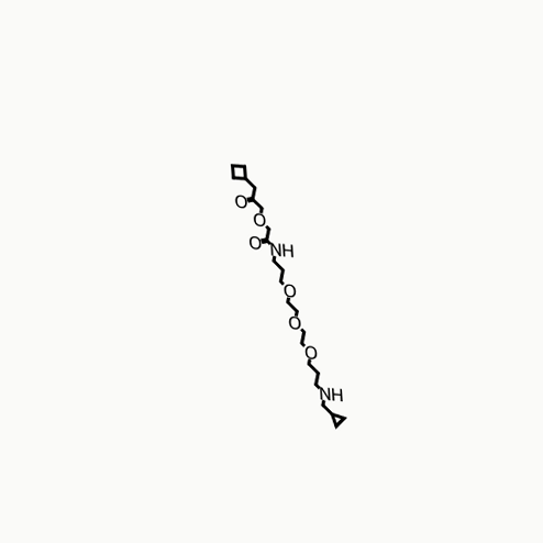 O=C(COCC(=O)NCCCOCCOCCOCCCNCC1CC1)CC1CCC1